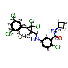 O=CC1(CNc2ccc(Cl)c(C(=O)NC3CCC3)c2)C(c2cc(Cl)cc(Cl)c2)C1(Cl)Cl